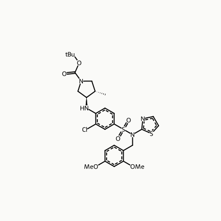 COc1ccc(CN(c2nccs2)S(=O)(=O)c2ccc(N[C@H]3CN(C(=O)OC(C)(C)C)C[C@@H]3C)c(Cl)c2)c(OC)c1